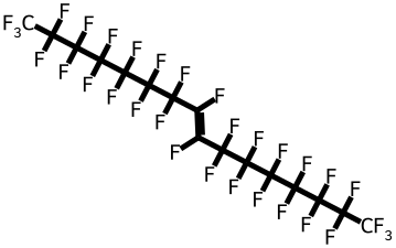 FC(=C(F)C(F)(F)C(F)(F)C(F)(F)C(F)(F)C(F)(F)C(F)(F)C(F)(F)F)C(F)(F)C(F)(F)C(F)(F)C(F)(F)C(F)(F)C(F)(F)C(F)(F)F